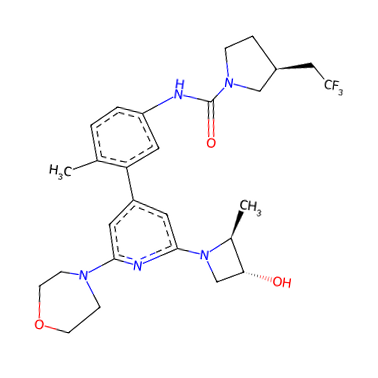 Cc1ccc(NC(=O)N2CC[C@@H](CC(F)(F)F)C2)cc1-c1cc(N2CCOCC2)nc(N2C[C@@H](O)[C@@H]2C)c1